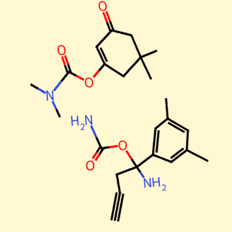 C#CCC(N)(OC(N)=O)c1cc(C)cc(C)c1.CN(C)C(=O)OC1=CC(=O)CC(C)(C)C1